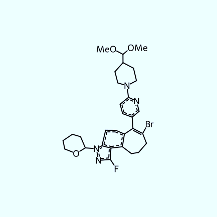 COC(OC)C1CCN(c2ccc(C3=C(Br)CCCc4c3ccc3c4c(F)nn3C3CCCCO3)cn2)CC1